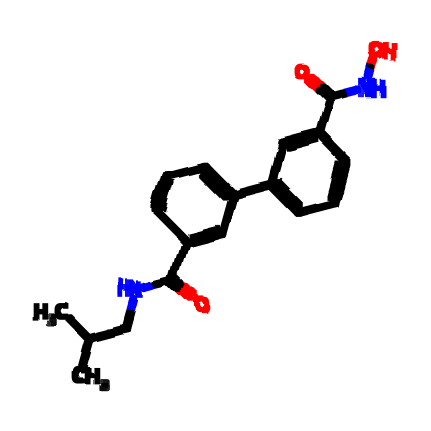 CC(C)CNC(=O)c1cccc(-c2cccc(C(=O)NO)c2)c1